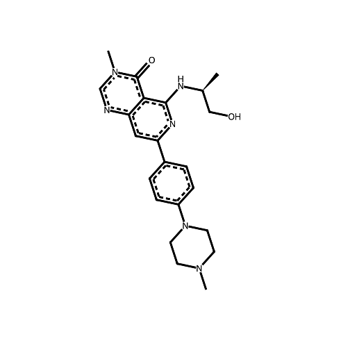 C[C@@H](CO)Nc1nc(-c2ccc(N3CCN(C)CC3)cc2)cc2ncn(C)c(=O)c12